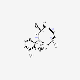 C=C1/C=C\C=C(\Cl)CO/C(c2cccc(O)c2OC)=C\C1=O